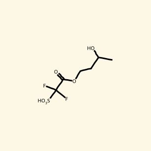 CC(O)CCOC(=O)C(F)(F)S(=O)(=O)O